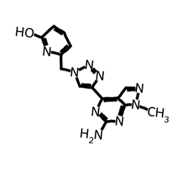 Cn1ncc2c(-c3cn(Cc4cccc(O)n4)nn3)nc(N)nc21